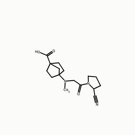 CN(CC(=O)N1CCCC1C#N)C12CCC(C(=O)O)(CC1)C2